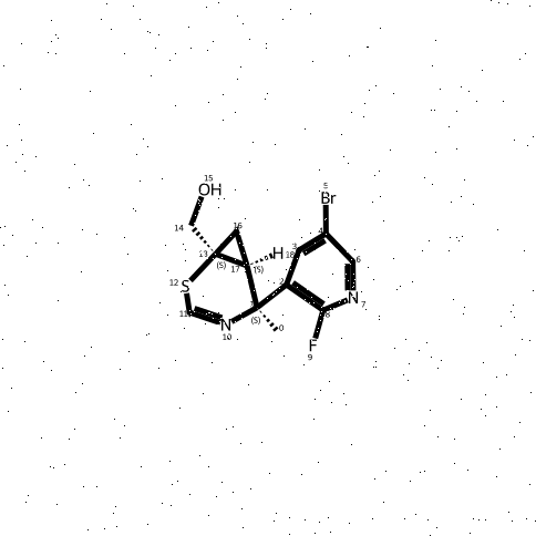 C[C@]1(c2cc(Br)cnc2F)N=[C]S[C@@]2(CO)C[C@H]21